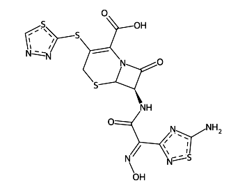 Nc1nc(/C(=N\O)C(=O)N[C@@H]2C(=O)N3C(C(=O)O)=C(Sc4nncs4)CSC23)ns1